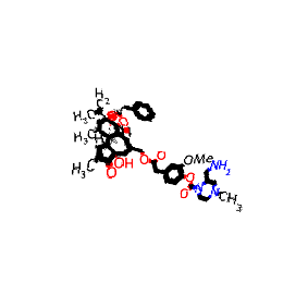 C=C(C)[C@]12C[C@@H](C)[C@@]34O[C@](Cc5ccccc5)(O[C@@H]1[C@@H]3C=C(COC(=O)Cc1ccc(OC(=O)N3CCN(C)CC3CN)c(OC)c1)C[C@]1(O)C(=O)C(C)=C[C@@H]41)O2